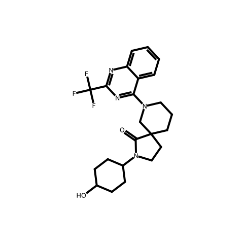 O=C1N(C2CCC(O)CC2)CCC12CCCN(c1nc(C(F)(F)F)nc3ccccc13)C2